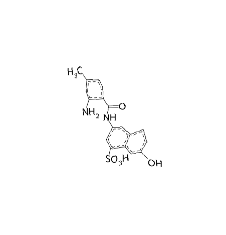 Cc1ccc(C(=O)Nc2cc(S(=O)(=O)O)c3cc(O)ccc3c2)c(N)c1